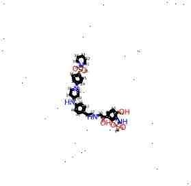 CS(=O)(=O)Nc1cc(C(O)CNCCc2ccc(NC3CCN(c4ccc(S(=O)(=O)N5CCCCC5)cc4)CC3)cc2)ccc1O